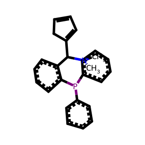 CN(C)C(C1=CC=CC1)c1ccccc1P(c1ccccc1)c1ccccc1